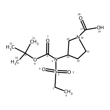 CCS(=O)(=O)N(C(=O)OC(C)(C)C)C1CCN(C(=O)O)C1